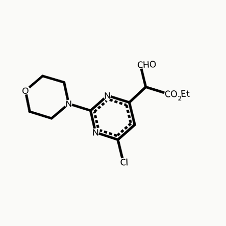 CCOC(=O)C(C=O)c1cc(Cl)nc(N2CCOCC2)n1